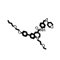 CCCCOCCOc1ccc(-c2ccc3c(c2)C=C(C(=O)Nc2ccc(CN(C)C4CCOCC4)cc2)CCN3CCCOCC)cc1